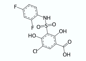 O=C(O)c1cc(Cl)c(O)c(S(=O)(=O)Nc2ccc(F)cc2F)c1O